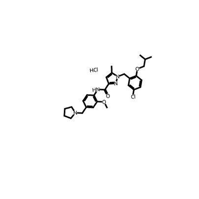 COc1cc(CN2CCCC2)ccc1NC(=O)c1cc(C)n(Cc2cc(Cl)ccc2OCC(C)C)n1.Cl